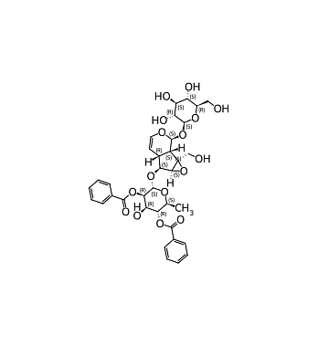 C[C@@H]1O[C@@H](O[C@H]2[C@@H]3C=CO[C@@H](O[C@@H]4O[C@H](CO)[C@@H](O)[C@H](O)[C@H]4O)[C@@H]3[C@@]3(CO)O[C@@H]23)[C@H](OC(=O)c2ccccc2)[C@H](O)[C@H]1OC(=O)c1ccccc1